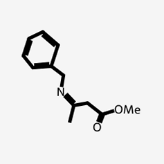 COC(=O)CC(C)=NCc1ccccc1